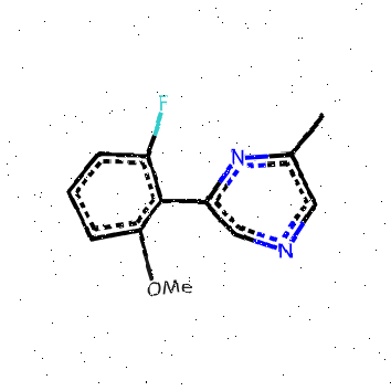 COc1cccc(F)c1-c1cncc(C)n1